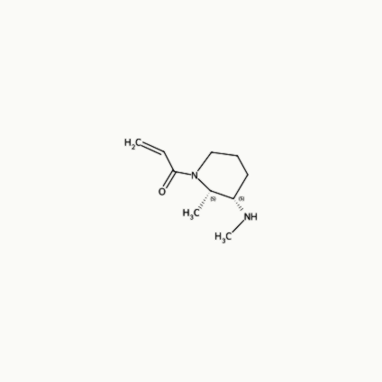 C=CC(=O)N1CCC[C@H](NC)[C@@H]1C